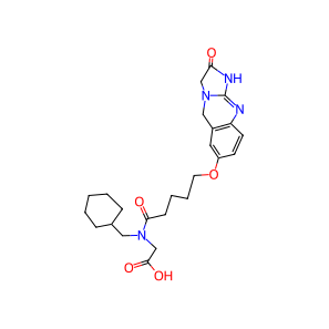 O=C(O)CN(CC1CCCCC1)C(=O)CCCCOc1ccc2c(c1)CN1CC(=O)NC1=N2